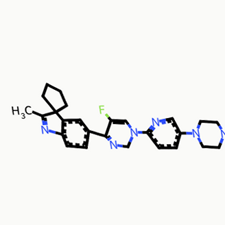 CC1=Nc2ccc(C3=NCN(c4ccc(N5CCNCC5)cn4)C=C3F)cc2C12CCCC2